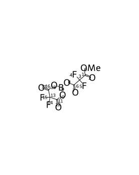 COC(=O)C(F)(F)C(=O)OB1OC(=O)C(F)(F)C(=O)O1